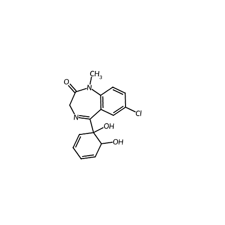 CN1C(=O)CN=C(C2(O)C=CC=CC2O)c2cc(Cl)ccc21